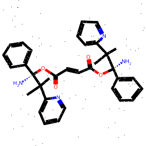 CC(C)(c1ccccn1)[C@](N)(OC(=O)/C=C/C(=O)O[C@](N)(c1ccccc1)C(C)(C)c1ccccn1)c1ccccc1